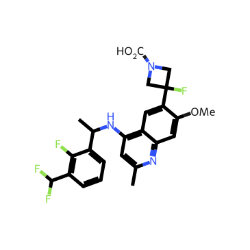 COc1cc2nc(C)cc(NC(C)c3cccc(C(F)F)c3F)c2cc1C1(F)CN(C(=O)O)C1